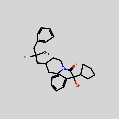 CC(C)([CH]C1CCN(C(=O)C(O)(c2ccccc2)C2CCCC2)CC1)Cc1ccccc1